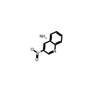 N.O=[N+]([O-])c1cnc2ccccc2c1